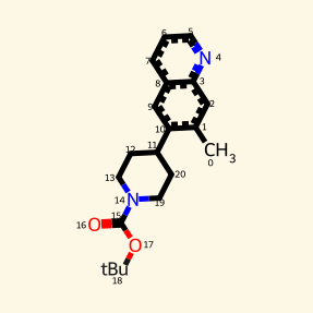 Cc1cc2ncccc2cc1C1CCN(C(=O)OC(C)(C)C)CC1